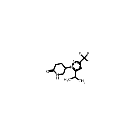 CC(C)c1cc(C(F)(F)F)nn1C1CCC(=O)NC1